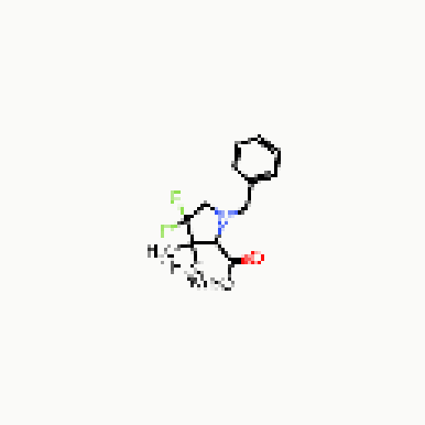 COC(=O)C1N(Cc2ccccc2)CC(F)(F)C1(C)C